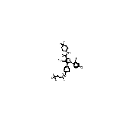 O=C(NC1CCC(F)(F)CC1)c1nn(-c2ccc(Cl)cc2Cl)c(-c2ccc(OS(=O)(=O)CCC(F)(F)F)cc2)c1CO